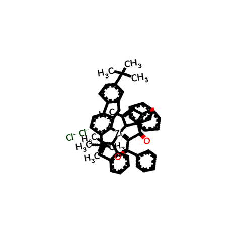 CC1=Cc2ccccc2[CH]1[Zr](=[C](C(=O)c1ccccc1)C(=O)c1ccccc1)([c]1c(C(C)(C)C)ccc2c1Cc1cc(C(C)(C)C)ccc1-2)[CH]1C(C)=Cc2ccccc21.[Cl-].[Cl-]